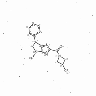 O=C(c1nc2n(n1)[C@H](c1ccccc1)C[C@@H]2F)N1CC(C(F)(F)F)C1